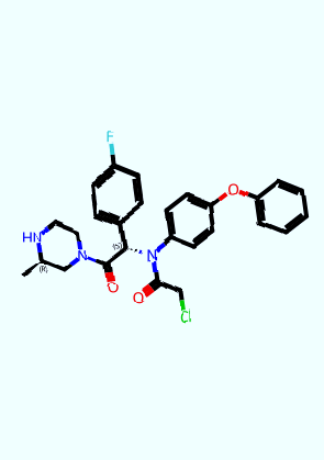 C[C@@H]1CN(C(=O)[C@H](c2ccc(F)cc2)N(C(=O)CCl)c2ccc(Oc3ccccc3)cc2)CCN1